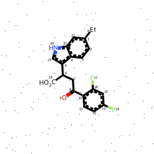 CCc1ccc2c(C(CC(=O)c3ccc(F)cc3F)C(=O)O)c[nH]c2c1